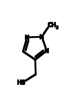 Cn1ncc(CS)n1